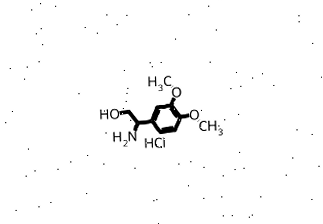 COc1ccc(C(N)CO)cc1OC.Cl